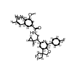 COc1cc(C(=O)NCC(c2cc3c(c(-c4ccc(F)cc4)n2)OCC3(CF)CF)C2(F)CC2)cc(/C=C(/C)N)c1N